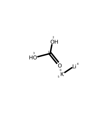 O=C(O)O.[Li][K]